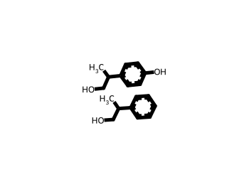 CC(CO)c1ccc(O)cc1.CC(CO)c1ccccc1